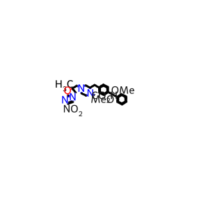 COC(OC)(c1ccccc1)c1ccc(CC2CN(CC3(C)Cn4cc([N+](=O)[O-])nc4O3)CCN2C(=O)O)cc1